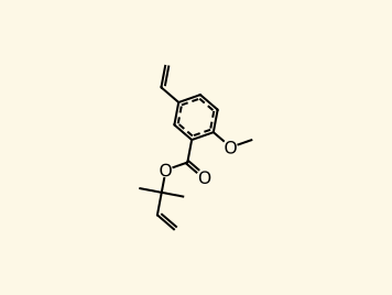 C=Cc1ccc(OC)c(C(=O)OC(C)(C)C=C)c1